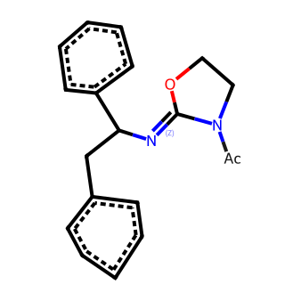 CC(=O)N1CCO/C1=N\C(Cc1ccccc1)c1ccccc1